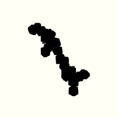 c1ccc(-c2ccc3c(c2)c2cc4ccccc4cc2n3-c2nnc(-c3ccc4c(c3)oc3cc(-c5ccc(-c6cccc7c6c6cc8ccccc8cc6n7-c6nnc(-c7ccc8oc9ccccc9c8c7)c7nccnc67)cc5)ccc34)c3nccnc23)cc1